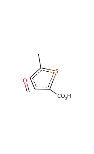 C=O.Cc1ccc(C(=O)O)s1